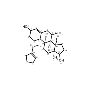 CC1CC2=CC(O)CC[C@]2(COC2=CCCC2)[C@@H]2CC[C@]3(C)C(O)CC[C@H]3[C@H]12